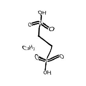 O=S(=O)(O)CCS(=O)(=O)O.[CaH2]